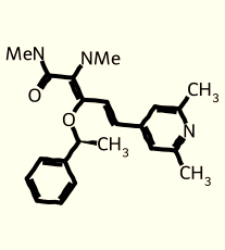 CNC(=O)/C(NC)=C(/C=C/c1cc(C)nc(C)c1)O[C@@H](C)c1ccccc1